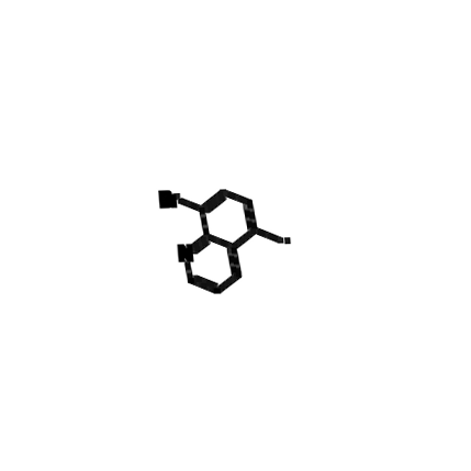 [CH2]c1ccc(Br)c2ncccc12